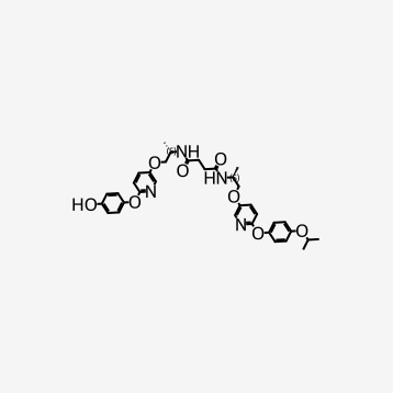 CC(C)Oc1ccc(Oc2ccc(OC[C@H](C)NC(=O)CCC(=O)N[C@@H](C)COc3ccc(Oc4ccc(O)cc4)nc3)cn2)cc1